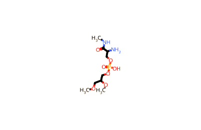 CNC(=O)C(N)COP(=O)(O)OCC(COC)OC